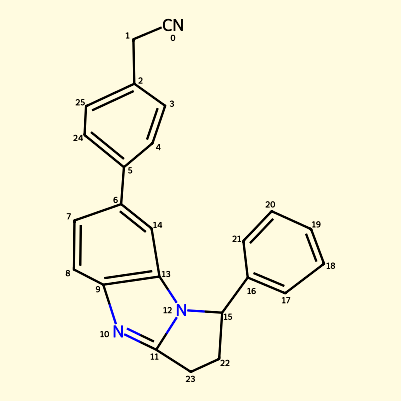 N#CCc1ccc(-c2ccc3nc4n(c3c2)C(c2ccccc2)CC4)cc1